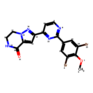 COc1c(Br)cc(-c2nccc(-c3cc4n(n3)CCNC4=O)n2)cc1Br